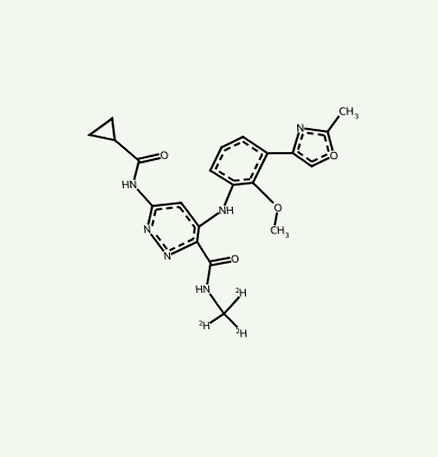 [2H]C([2H])([2H])NC(=O)c1nnc(NC(=O)C2CC2)cc1Nc1cccc(-c2coc(C)n2)c1OC